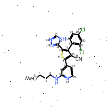 COCCCNc1cc(-c2sc(-c3nnc[nH]3)c(-c3ccc(Cl)cc3Cl)c2C#N)ccn1